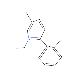 CC[n+]1cc(C)ccc1-c1ccccc1C